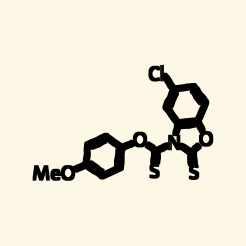 COc1ccc(OC(=S)n2c(=S)oc3ccc(Cl)cc32)cc1